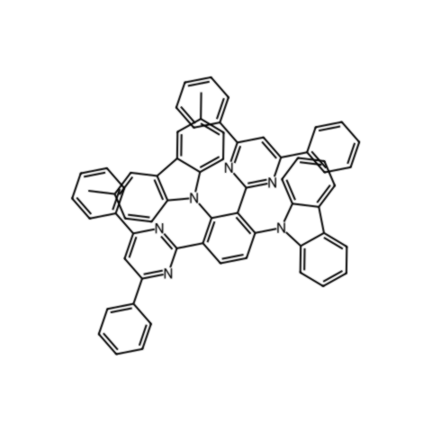 Cc1ccc2c(c1)c1cc(C)ccc1n2-c1c(-c2nc(-c3ccccc3)cc(-c3ccccc3)n2)ccc(-n2c3ccccc3c3ccccc32)c1-c1nc(-c2ccccc2)cc(-c2ccccc2)n1